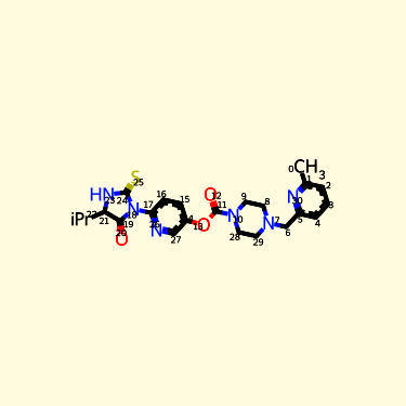 Cc1cccc(CN2CCN(C(=O)Oc3ccc(N4C(=O)C(C(C)C)NC4=S)nc3)CC2)n1